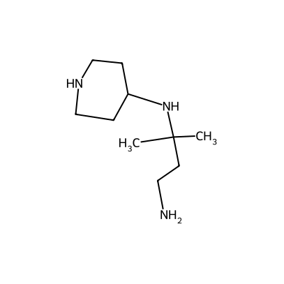 CC(C)(CCN)NC1CCNCC1